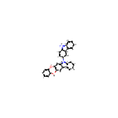 c1ccc2c(c1)Oc1cc3c4ccccc4n(-c4ccc5[nH]c6ccccc6c5c4)c3cc1O2